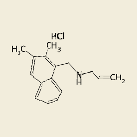 C=CCNCc1c(C)c(C)cc2ccccc12.Cl